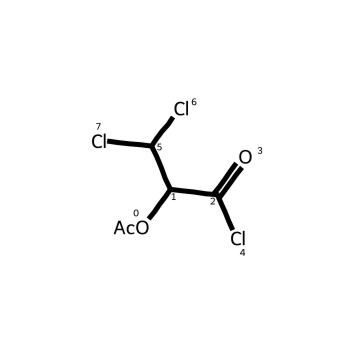 CC(=O)OC(C(=O)Cl)C(Cl)Cl